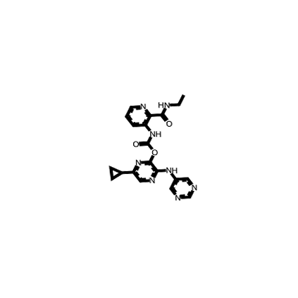 CCNC(=O)c1ncccc1NC(=O)Oc1nc(C2CC2)cnc1Nc1cncnc1